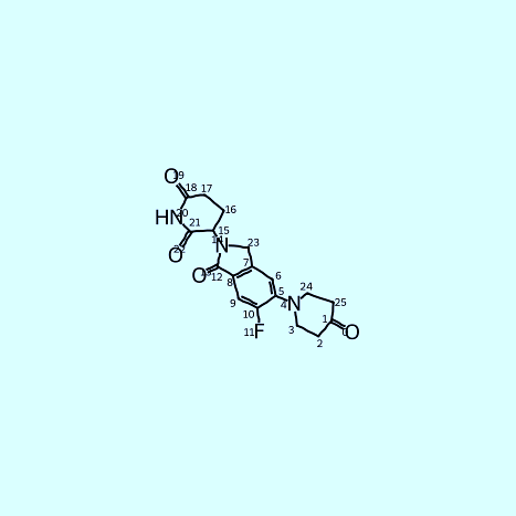 O=C1CCN(c2cc3c(cc2F)C(=O)N(C2CCC(=O)NC2=O)C3)CC1